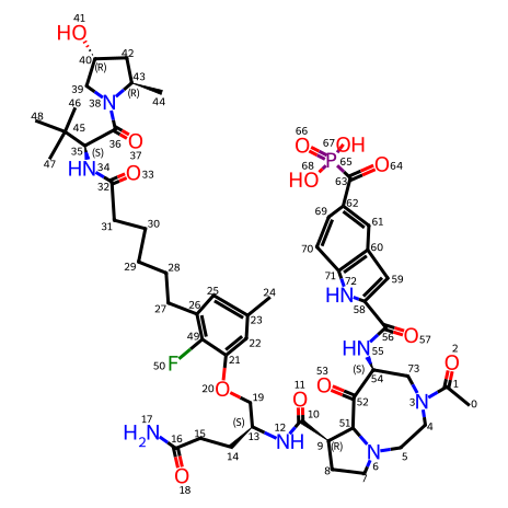 CC(=O)N1CCN2CC[C@@H](C(=O)N[C@@H](CCC(N)=O)COc3cc(C)cc(CCCCCC(=O)N[C@H](C(=O)N4C[C@H](O)C[C@H]4C)C(C)(C)C)c3F)C2C(=O)[C@@H](NC(=O)c2cc3cc(C(=O)P(=O)(O)O)ccc3[nH]2)C1